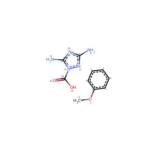 COc1ccccc1.Nc1nc(N)n(C(=O)O)n1